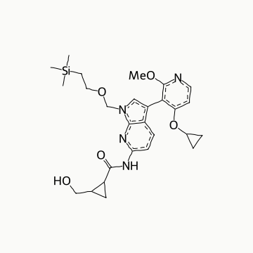 COc1nccc(OC2CC2)c1-c1cn(COCC[Si](C)(C)C)c2nc(NC(=O)C3CC3CO)ccc12